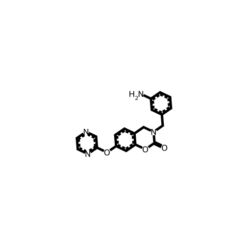 Nc1cccc(CN2Cc3ccc(Oc4cnccn4)cc3OC2=O)c1